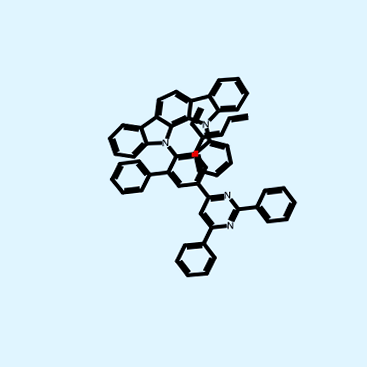 C=C/C=C(\C=C)c1cc(-c2cc(-c3ccccc3)nc(-c3ccccc3)n2)cc(-c2ccccc2)c1-n1c2ccccc2c2ccc3c4ccccc4n(-c4ccccc4)c3c21